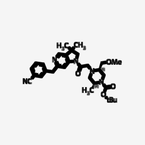 COC[C@H]1CN(C(=O)OC(C)(C)C)[C@H](C)CN1CC(=O)N1CC(C)(C)c2cnc(Cc3cccc(C#N)c3)cc21